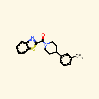 O=C(c1nc2ccccc2s1)N1CCC(c2cccc(C(F)(F)F)c2)CC1